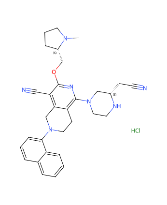 CN1CCC[C@H]1COc1nc(N2CCN[C@@H](CC#N)C2)c2c(c1C#N)CN(c1cccc3ccccc13)CC2.Cl